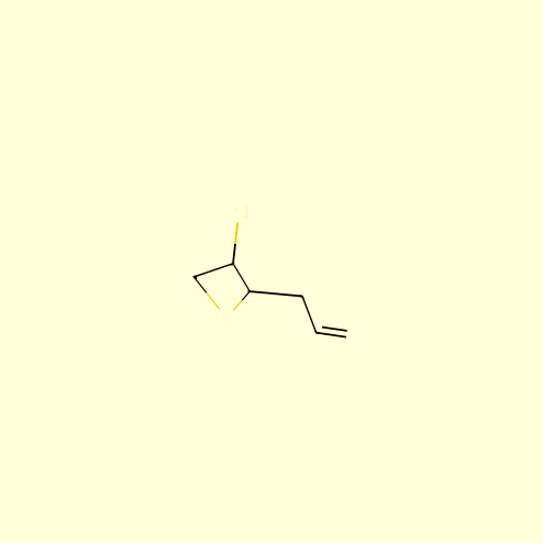 C=CCC1SCC1S